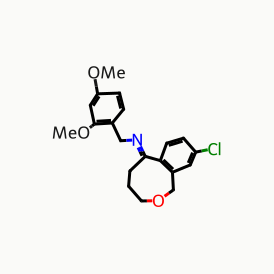 COc1ccc(CN=C2CCCOCc3cc(Cl)ccc32)c(OC)c1